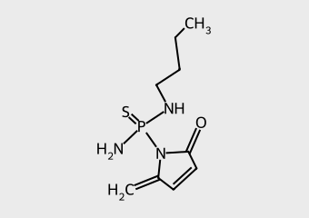 C=C1C=CC(=O)N1P(N)(=S)NCCCC